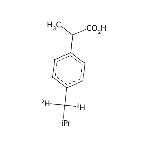 [2H]C([2H])(c1ccc(C(C)C(=O)O)cc1)C(C)C